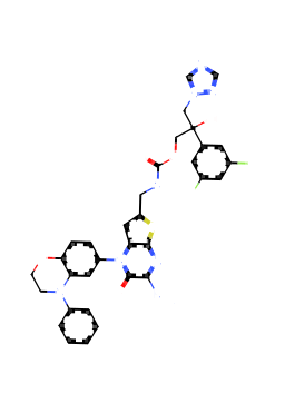 Nc1nc2sc(CNC(=O)OCC(O)(Cn3cncn3)c3cc(F)cc(F)c3)cc2n(-c2ccc3c(c2)N(c2ccccc2)CCO3)c1=O